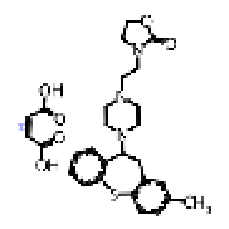 Cc1ccc2c(c1)CC(N1CCN(CCN3CCOC3=O)CC1)c1ccccc1S2.O=C(O)/C=C\C(=O)O